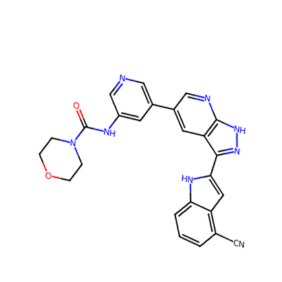 N#Cc1cccc2[nH]c(-c3n[nH]c4ncc(-c5cncc(NC(=O)N6CCOCC6)c5)cc34)cc12